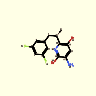 C[C@@H](Cc1cc(F)cc(F)c1)c1nc(Br)c(N)cc1Br